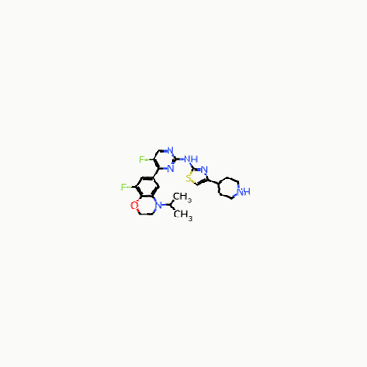 CC(C)N1CCOc2c(F)cc(-c3nc(Nc4nc(C5CCNCC5)cs4)ncc3F)cc21